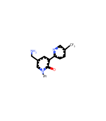 CC(C)n1cc(CN)cc(-c2ccc(C(F)(F)F)cn2)c1=O